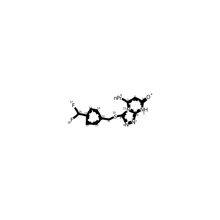 CCCc1cc(=O)[nH]c2nnc(SCc3ccc(C(F)F)cc3)n12